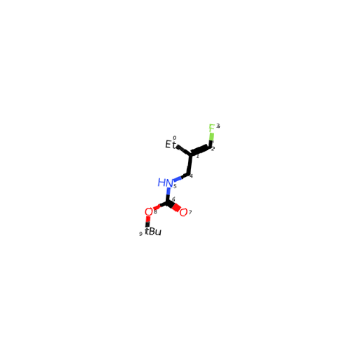 CC/C(=C\F)CNC(=O)OC(C)(C)C